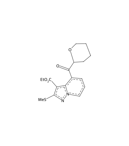 CCOC(=O)c1c(SC)nn2cccc(C(=O)C3CCCCO3)c12